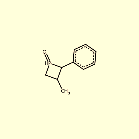 CC1C[PH](=O)C1c1ccccc1